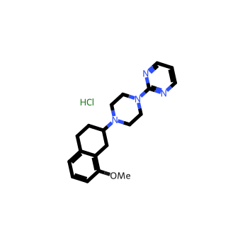 COc1cccc2c1CC(N1CCN(c3ncccn3)CC1)CC2.Cl